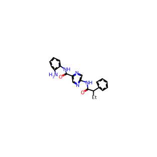 CCC(C(=O)Nc1cnc(C(=O)Nc2ccccc2N)cn1)c1ccccc1